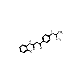 CC(C)Nc1ccc(C(=O)CC(=O)Nc2ccccc2Cl)cc1